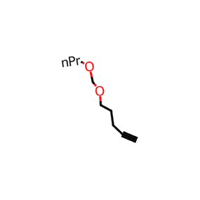 C#CCCCOCOCCC